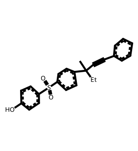 CCC(C)(C#Cc1ccccc1)c1ccc(S(=O)(=O)c2ccc(O)cc2)cc1